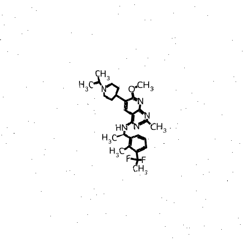 COc1nc2nc(C)nc(N[C@H](C)c3cccc(C(C)(F)F)c3C)c2cc1C1CCN(C(C)C)CC1